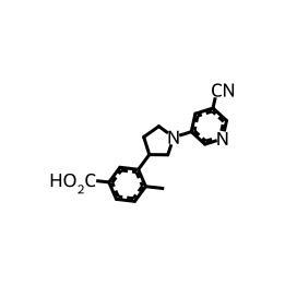 Cc1ccc(C(=O)O)cc1C1CCN(c2cncc(C#N)c2)C1